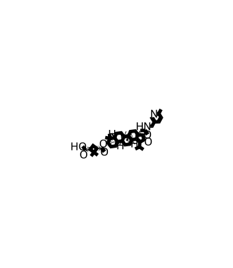 Cc1ccc(CNC(=O)C[C@@]23CC[C@]4(C)[C@H](CC[C@@H]5[C@@]6(C)CC[C@H](OC(=O)[C@H]7C[C@@H](C(=O)O)C7(C)C)C(C)(C)[C@@H]6CC[C@]54C)C2=C(C(C)C)C(=O)C3)cn1